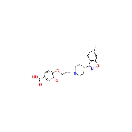 COc1cc(C(=O)O)ccc1OCCCN1CCC(c2noc3cc(F)ccc23)CC1